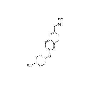 CCCNCc1ccc2cc(OC3CCC(C(C)(C)C)CC3)ccc2c1